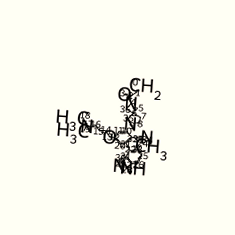 C=CC(=O)N1CC2(CCN(c3cc(OCCCN(C)C)cc(-c4c(C)ccc5[nH]ncc45)c3C#N)C2)C1